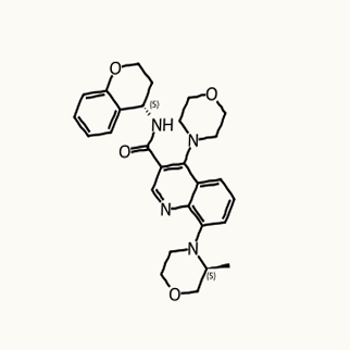 C[C@H]1COCCN1c1cccc2c(N3CCOCC3)c(C(=O)N[C@H]3CCOc4ccccc43)cnc12